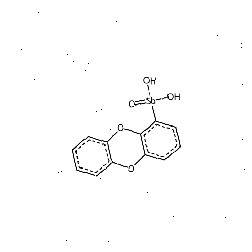 [O]=[Sb]([OH])([OH])[c]1cccc2c1Oc1ccccc1O2